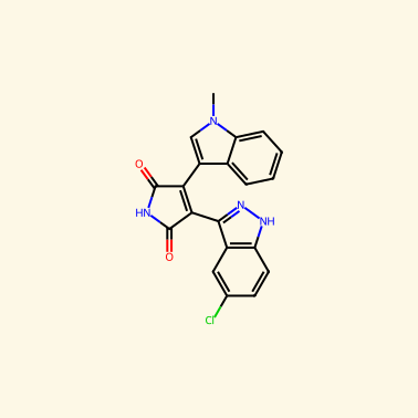 Cn1cc(C2=C(c3n[nH]c4ccc(Cl)cc34)C(=O)NC2=O)c2ccccc21